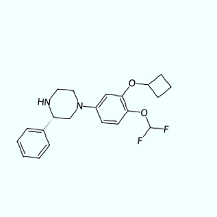 FC(F)Oc1ccc(N2CCN[C@@H](c3ccccc3)C2)cc1OC1CCC1